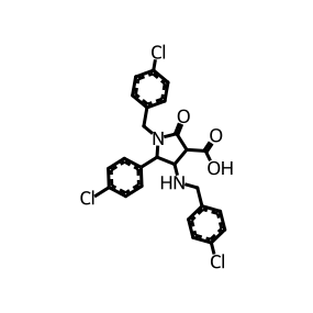 O=C(O)C1C(=O)N(Cc2ccc(Cl)cc2)C(c2ccc(Cl)cc2)C1NCc1ccc(Cl)cc1